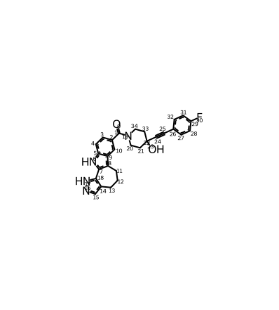 O=C(c1ccc2[nH]c3c(c2c1)CCCc1cn[nH]c1-3)N1CCC(O)(C#Cc2ccc(F)cc2)CC1